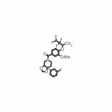 COc1cc(C(=O)N2CC[C@]3(c4cccc(F)c4)OCOC3C2)ccc1OC(C)C(F)(F)C(F)F